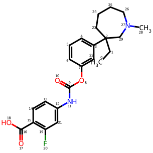 CCC1(c2cccc(OC(=O)Nc3ccc(C(=O)O)c(F)c3)c2)CCCCN(C)C1